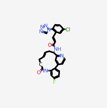 O=C(/C=C/c1cc(Cl)ccc1-n1cnnn1)N[C@H]1C/C=C/CCC(=O)Nc2cc(F)ccc2-c2ccnc1c2